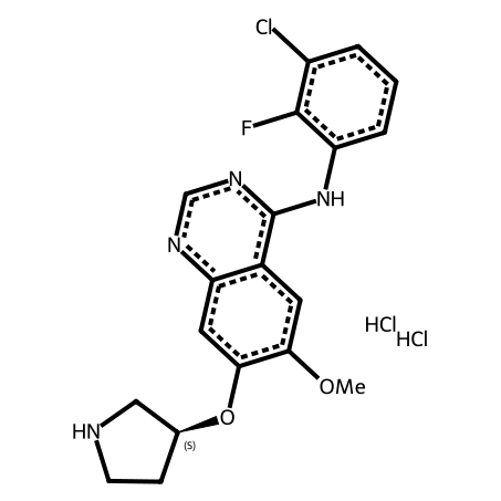 COc1cc2c(Nc3cccc(Cl)c3F)ncnc2cc1O[C@H]1CCNC1.Cl.Cl